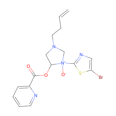 C=CCCN1CC(OC(=O)c2ccccn2)[N+]([O-])(c2ncc(Br)s2)C1